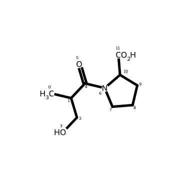 CC(CO)C(=O)N1CCCC1C(=O)O